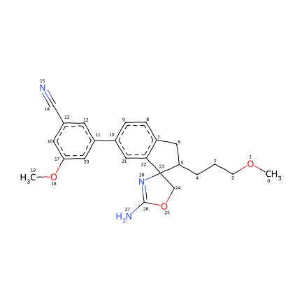 COCCCC1Cc2ccc(-c3cc(C#N)cc(OC)c3)cc2C12COC(N)=N2